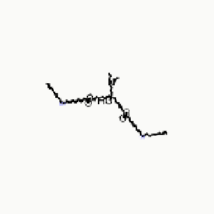 CCCCCCCC/C=C\CCCCCCCC(=O)OCCCCCCC(O)(CCCCCCOC(=O)CCCCCCC/C=C\CCCCCCCC)CCCCN(CCC)CCC